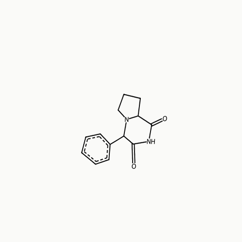 O=C1NC(=O)C(c2ccccc2)N2CCCC12